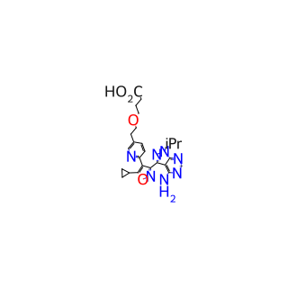 CC(C)n1nc(-c2noc(C3CC3)c2-c2ccc(CCOCCCC(=O)O)cn2)c2c(N)ncnc21